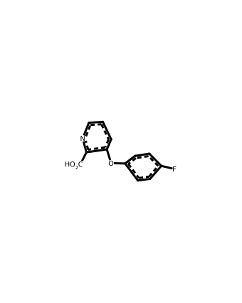 O=C(O)c1ncccc1Oc1ccc(F)cc1